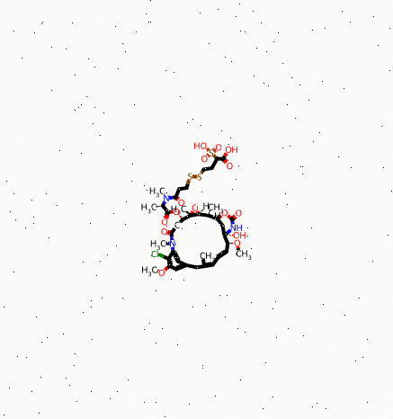 COc1cc2cc(c1Cl)N(C)C(=O)C[C@H](OC(=O)[C@H](C)N(C)C(=O)CCSSCCC(C(=O)O)S(=O)(=O)O)[C@]1(C)O[C@H]1[C@H](C)[C@@H]1C[C@@](O)(NC(=O)O1)[C@H](OC)/C=C/C=C(\C)C2